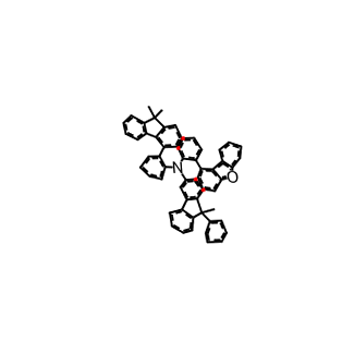 CC1(C)c2ccccc2-c2c(-c3ccccc3N(c3ccc4c(c3)-c3ccccc3C4(C)c3ccccc3)c3ccccc3-c3cccc4oc5ccccc5c34)cccc21